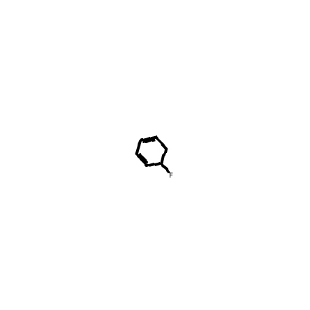 F[C]1C=CC=[C]C1